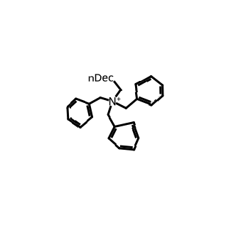 CCCCCCCCCCC[N+](Cc1ccccc1)(Cc1ccccc1)Cc1ccccc1